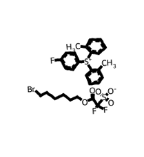 Cc1ccccc1[S+](c1ccc(F)cc1)c1ccccc1C.O=C(OCCCCCCBr)C(F)(F)S(=O)(=O)[O-]